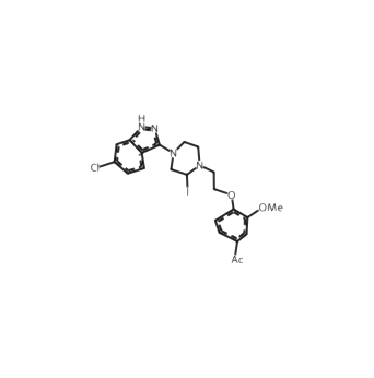 COc1cc(C(C)=O)ccc1OCCN1CCN(c2n[nH]c3cc(Cl)ccc23)CC1I